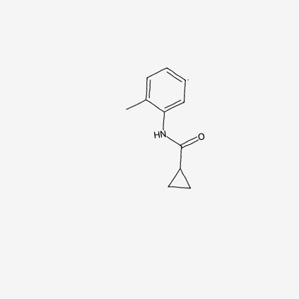 Cc1cc[c]cc1NC(=O)C1CC1